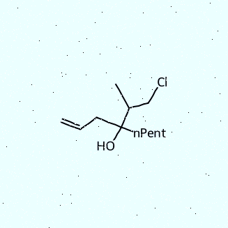 C=CCC(O)(CCCCC)C(C)CCl